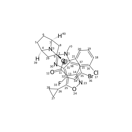 Cn1c(N2[C@@H]3CC[C@H]2C[C@@H](OC(=O)c2c(-c4c(Cl)cccc4Cl)noc2C2CC2)C3)nc2c(F)cc(Br)cc21